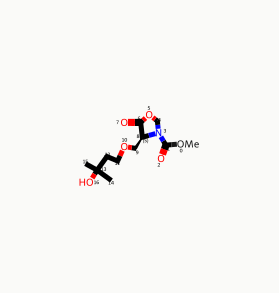 COC(=O)N1COC(=O)[C@@H]1COCCC(C)(C)O